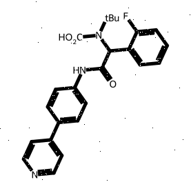 CC(C)(C)N(C(=O)O)C(C(=O)Nc1ccc(-c2ccncc2)cc1)c1ccccc1F